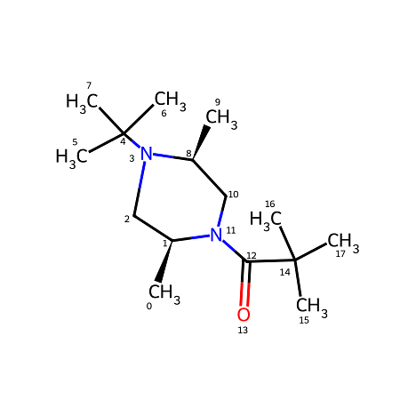 C[C@H]1CN(C(C)(C)C)[C@@H](C)CN1C(=O)C(C)(C)C